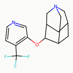 FC(F)(F)c1ccncc1OC1C2CC3CC1CN(C3)C2